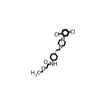 CCOCC(=O)N[C@H]1CC[C@H](CCN2CCN(c3cc(Cl)ccc3Cl)CC2)CC1